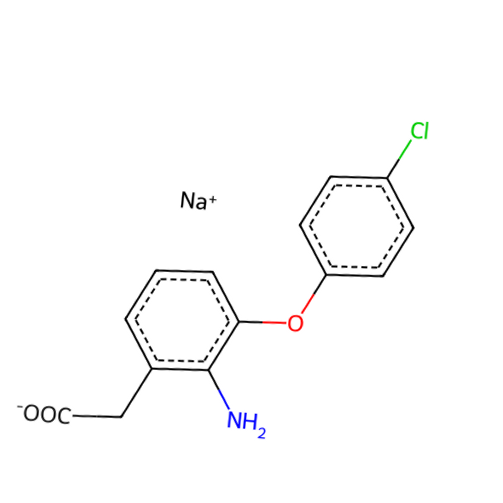 Nc1c(CC(=O)[O-])cccc1Oc1ccc(Cl)cc1.[Na+]